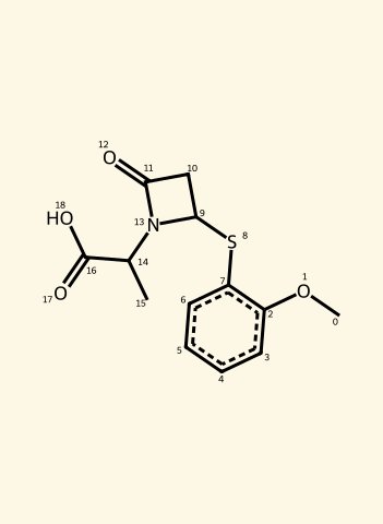 COc1ccccc1SC1CC(=O)N1C(C)C(=O)O